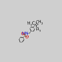 CC(C)(C)c1ccc(CNS(=O)(=O)c2ccccc2)cc1